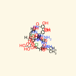 CC(C)C[C@@H](N)C(=O)N[C@H]1C(=O)N[C@@H](CC(N)=O)C(=O)N[C@H]2C(=O)N[C@H]3C(=O)N[C@H](C(=O)N[C@H](C=O)c4cc(O)cc(O)c4-c4cc3ccc4O)[C@H](O)c3ccc(c(Cl)c3)Oc3cc2cc(c3OC2OC(CO)C(O)C(O)C2OC2CC(C)(N)C(O)C(C)O2)Oc2ccc(cc2Cl)[C@H]1O